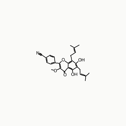 COc1c(-c2ccc(C#N)cc2)oc2c(CC=C(C)C)c(O)c(CC=C(C)C)c(O)c2c1=O